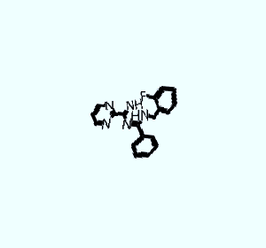 N=C(/N=C(\NCc1ccccc1F)c1ccccc1)c1ncccn1